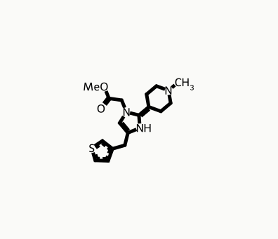 COC(=O)CN1C=C(Cc2ccsc2)NC1=C1CCN(C)CC1